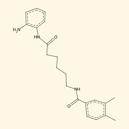 Cc1ccc(C(=O)NCCCCCC(=O)Nc2ccccc2N)cc1C